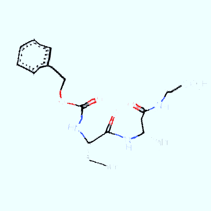 CC(C)C[C@H](NC(=O)OCc1ccccc1)C(=O)N[C@H](C(=O)NCC(=O)O)C(C)C